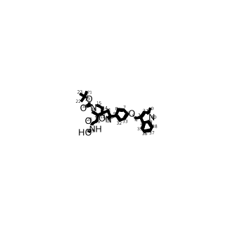 Cc1cc(COc2ccc(C3=NOC4(CCN(C(=O)OC(C)(C)C)CC4CC(=O)NO)C3)cc2)c2ccccc2n1